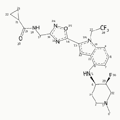 CN1CC[C@@H](Nc2cccc3c2cc(-c2nc(CNC(=O)C4CC4)no2)n3CC(F)(F)F)[C@@H](F)C1